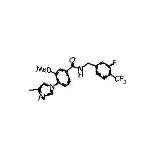 COc1cc(C(=O)NCc2ccc(C(F)(F)F)c(F)c2)ccc1-n1cnc(C)c1